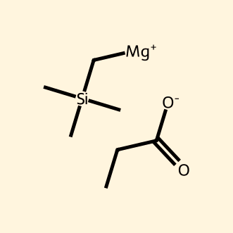 CCC(=O)[O-].C[Si](C)(C)[CH2][Mg+]